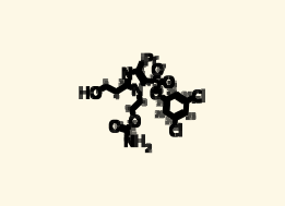 CC(C)c1nc(CCO)n(CCOC(N)=O)c1S(=O)(=O)Oc1cc(Cl)cc(Cl)c1